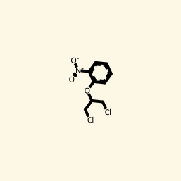 O=[N+]([O-])c1ccccc1OC(CCl)CCl